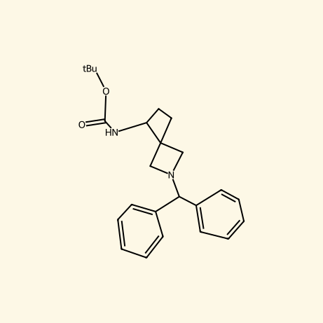 CC(C)(C)OC(=O)NC1CCC12CN(C(c1ccccc1)c1ccccc1)C2